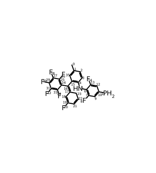 Cc1ccc(Nc2c(F)cc(P)cc2F)c(/C(=C2/C=C(F)C=CC2)c2c(F)c(F)c(F)c(F)c2F)c1